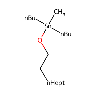 CCCCCCCCC[O][Sn]([CH3])([CH2]CCC)[CH2]CCC